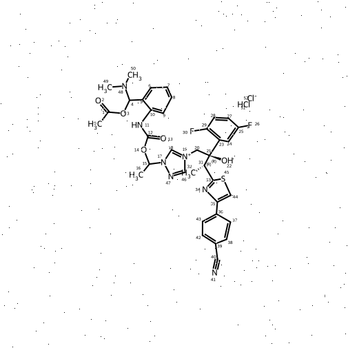 CC(=O)OC(c1ccccc1NC(=O)OC(C)n1c[n+](C[C@](O)(c2cc(F)ccc2F)[C@@H](C)c2nc(-c3ccc(C#N)cc3)cs2)cn1)N(C)C.Cl.[Cl-]